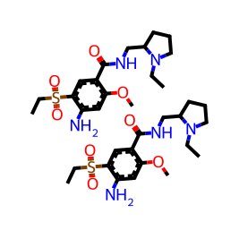 CCN1CCCC1CNC(=O)c1cc(S(=O)(=O)CC)c(N)cc1OC.CCN1CCCC1CNC(=O)c1cc(S(=O)(=O)CC)c(N)cc1OC